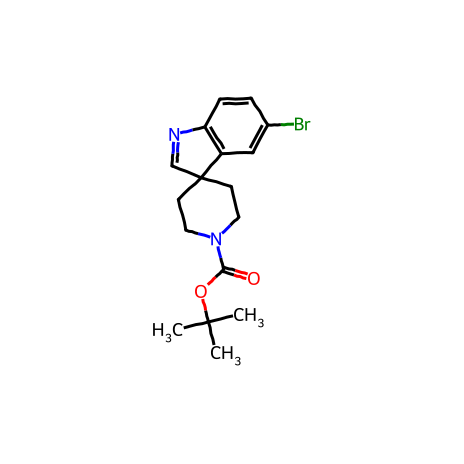 CC(C)(C)OC(=O)N1CCC2(C=Nc3ccc(Br)cc32)CC1